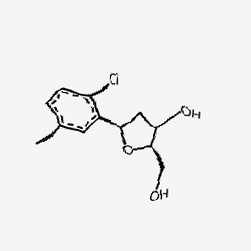 Cc1ccc(Cl)c([C@H]2CC(O)[C@@H](CO)O2)c1